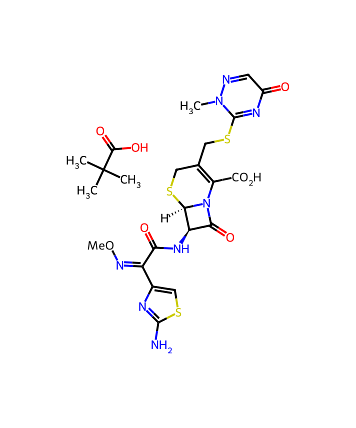 CC(C)(C)C(=O)O.CO/N=C(\C(=O)N[C@@H]1C(=O)N2C(C(=O)O)=C(CSc3nc(=O)cnn3C)CS[C@H]12)c1csc(N)n1